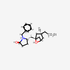 CCOC(=O)C[C@H]1CC2C[C@@](C[C@@H]3CCC(=O)N3Cc3ccccc3)(C1)O2